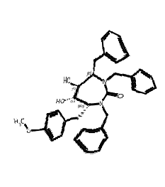 COc1ccc(C[C@@H]2[C@H](O)[C@@H](O)[C@@H](Cc3ccccc3)N(Cc3ccccc3)C(=O)N2Cc2ccccc2)cc1